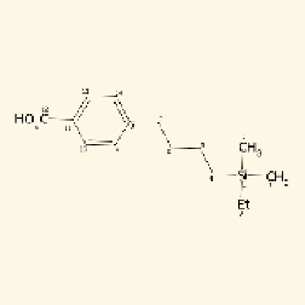 CC[Si](C)(C)CCCCc1ccc(C(=O)O)cc1